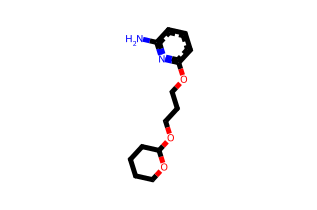 Nc1cccc(OCCCOC2CCCCO2)n1